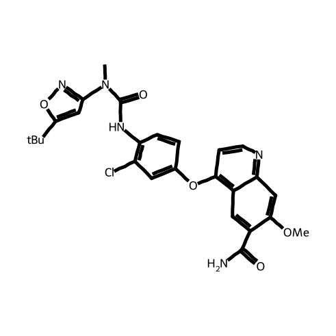 COc1cc2nccc(Oc3ccc(NC(=O)N(C)c4cc(C(C)(C)C)on4)c(Cl)c3)c2cc1C(N)=O